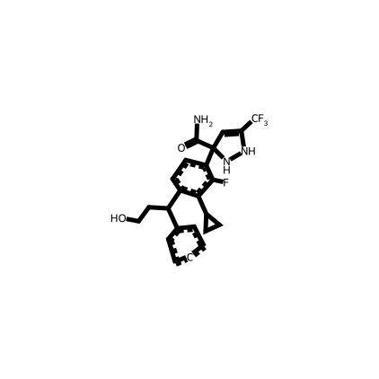 NC(=O)C1(c2ccc(C(CCO)c3ccccc3)c(C3CC3)c2F)C=C(C(F)(F)F)NN1